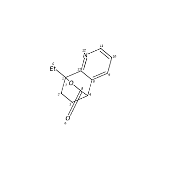 CCC12CCC(C(=O)O1)c1cccnc12